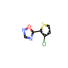 Clc1ccsc1-c1ncno1